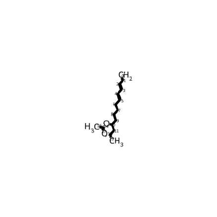 C=CC=CC=CCCCCC(CCC)OC(C)=O